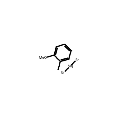 COc1cc[c]cc1C.[Br][Mg][Br]